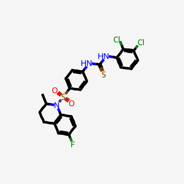 CC1CCc2cc(F)ccc2N1S(=O)(=O)c1ccc(NC(=S)Nc2cccc(Cl)c2Cl)cc1